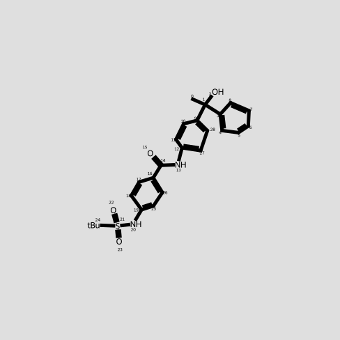 CC(O)(c1ccccc1)c1ccc(NC(=O)c2ccc(NS(=O)(=O)C(C)(C)C)cc2)cc1